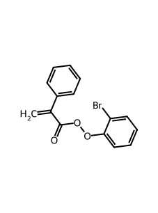 C=C(C(=O)OOc1ccccc1Br)c1ccccc1